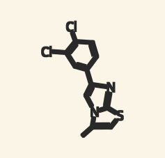 Cc1csc2nc(-c3ccc(Cl)c(Cl)c3)cn12